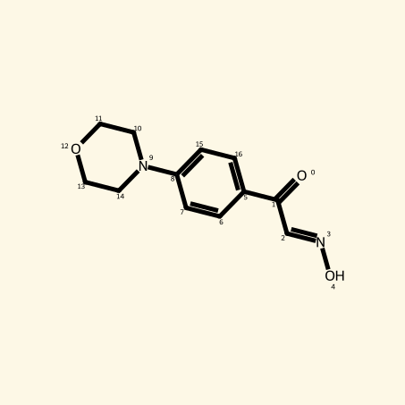 O=C(C=NO)c1ccc(N2CCOCC2)cc1